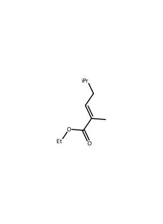 CCOC(=O)C(C)=CCC(C)C